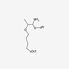 CCCCCCCCCCCCOC(C)C(N)OCCC